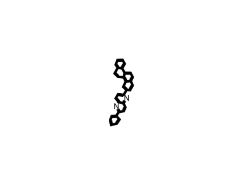 c1ccc(-c2ccc3nc(-c4ccc5ccc6c7ccccc7ccc6c5c4)ccc3n2)cc1